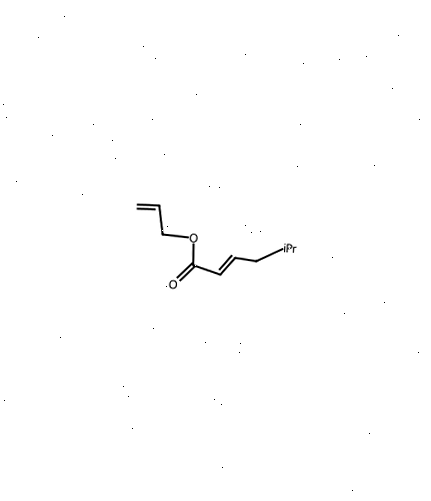 C=CCOC(=O)C=CCC(C)C